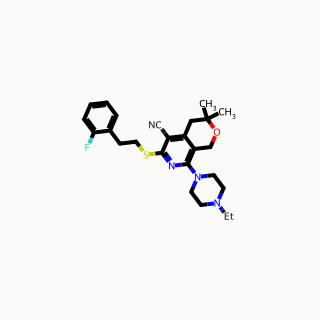 CCN1CCN(c2nc(SCCc3ccccc3F)c(C#N)c3c2COC(C)(C)C3)CC1